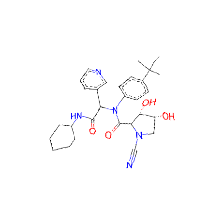 CC(C)(C)c1ccc(N(C(=O)C2[C@H](O)[C@H](O)CN2C#N)C(C(=O)NC2CCCCC2)c2cccnc2)cc1